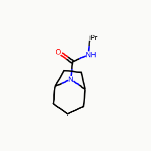 CC(C)NC(=O)N1C2C[CH]CC1CC2